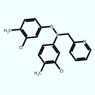 Cc1ccc(OB(Cc2ccccn2)c2ccc(C)c(Cl)c2)cc1Cl